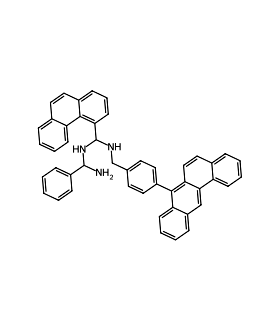 NC(NC(NCc1ccc(-c2c3ccccc3cc3c2ccc2ccccc23)cc1)c1cccc2ccc3ccccc3c12)c1ccccc1